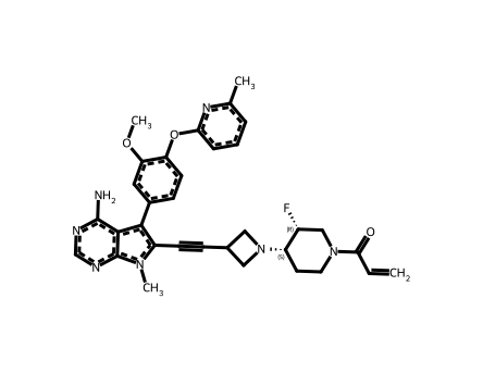 C=CC(=O)N1CC[C@H](N2CC(C#Cc3c(-c4ccc(Oc5cccc(C)n5)c(OC)c4)c4c(N)ncnc4n3C)C2)[C@H](F)C1